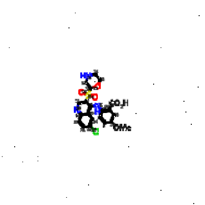 COc1ccc(Nc2c(S(=O)(=O)C3CNCCO3)cnc3ccc(Cl)cc23)c(C(=O)O)c1